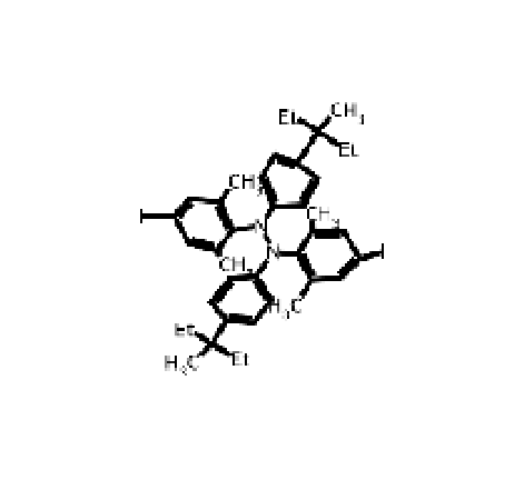 CCC(C)(CC)c1ccc(N(c2c(C)cc(I)cc2C)N(c2ccc(C(C)(CC)CC)cc2)c2c(C)cc(I)cc2C)cc1